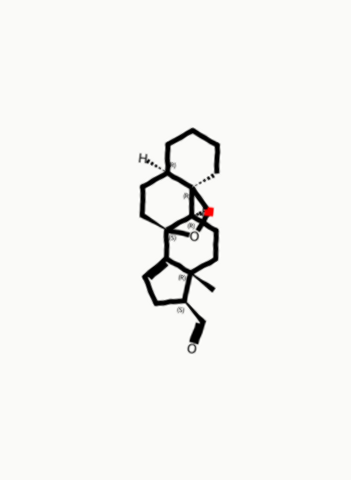 C[C@]12CC[C@@H]3[C@@]45CCCC[C@@H]4CC[C@@]3(OC5)C1=CC[C@@H]2C=O